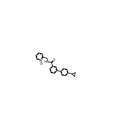 O=C(NCc1cccc[n+]1[O-])c1cccc(-c2ccc(C3CC3)cc2)c1